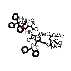 CO/N=C(/C(=O)NC1C(=O)N2C(C(=O)OC(c3ccccc3)c3ccccc3)=C(/C=C/Sc3n[nH]c(=O)c(=O)n3CC(OC)OC)CSC12)c1csc(NC(c2ccccc2)(c2ccccc2)c2ccccc2)n1